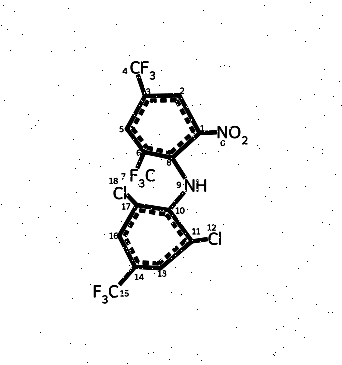 O=[N+]([O-])c1cc(C(F)(F)F)cc(C(F)(F)F)c1Nc1c(Cl)cc(C(F)(F)F)cc1Cl